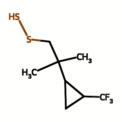 CC(C)(CSS)C1CC1C(F)(F)F